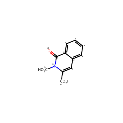 O=C(O)c1cc2ccccc2c(=O)n1C(=O)O